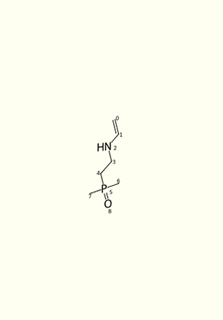 C=CNCCP(C)(C)=O